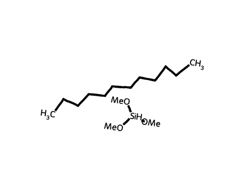 CCCCCCCCCCCC.CO[SiH](OC)OC